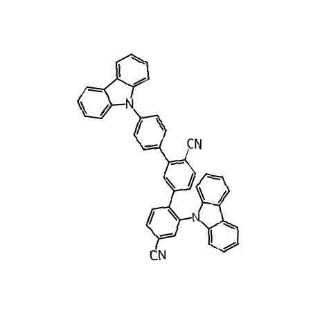 N#Cc1ccc(-c2ccc(C#N)c(-c3ccc(-n4c5ccccc5c5ccccc54)cc3)c2)c(-n2c3ccccc3c3ccccc32)c1